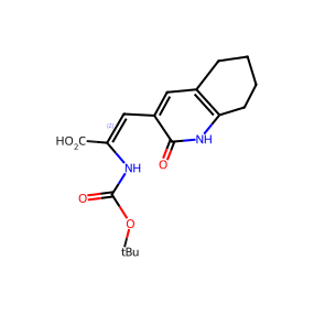 CC(C)(C)OC(=O)N/C(=C\c1cc2c([nH]c1=O)CCCC2)C(=O)O